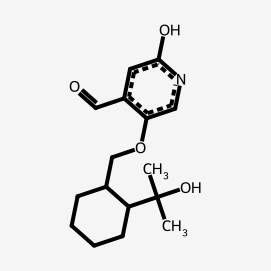 CC(C)(O)C1CCCCC1COc1cnc(O)cc1C=O